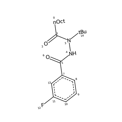 CCCCCCCCC(=O)N(NC(=O)c1cccc(F)c1)C(C)(C)C